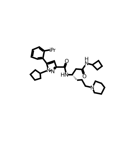 CC(C)c1ccccc1-c1cc(C(=O)N[C@@H](CCCN2CCCCC2)CC(=O)NC2CCC2)nn1C1CCCC1